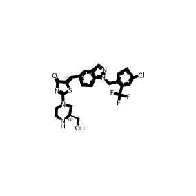 O=C1N=C(N2CCN[C@H](CO)C2)S/C1=C\c1ccc2c(cnn2Cc2ccc(Cl)cc2C(F)(F)F)c1